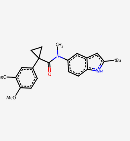 COc1ccc(C2(C(=O)N(C)c3ccc4[nH]c(C(C)(C)C)cc4c3)CC2)cc1OC